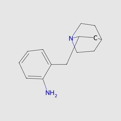 Nc1ccccc1CC1CC2CCN1CC2